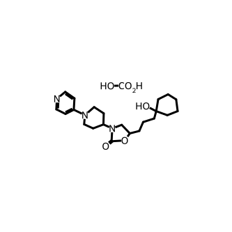 O=C(O)O.O=C1OC(CCCC2(O)CCCCC2)CN1C1CCN(c2ccncc2)CC1